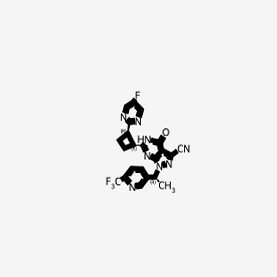 C[C@H](c1ccc(C(F)(F)F)nc1)n1nc(C#N)c2c(=O)[nH]c([C@@H]3CC[C@H]3c3ncc(F)cn3)nc21